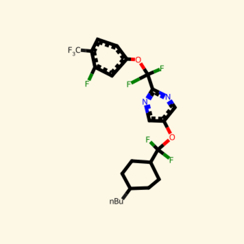 CCCCC1CCC(C(F)(F)Oc2cnc(C(F)(F)Oc3ccc(C(F)(F)F)c(F)c3)nc2)CC1